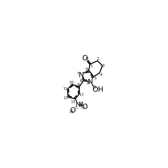 O=C1CCCc2c1nc(-c1cccc([N+](=O)[O-])c1)n2O